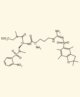 CCOC(=O)CN(C)C(=O)[C@H](CN(C)S(=O)(=O)c1ccccc1[N+](=O)[O-])NC(=O)[C@@H](N)CCCN/C(N)=N\S(=O)(=O)c1c(C)c(C)c2c(c1C)CC(C)(C)O2